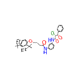 CCC(C)(C)c1ccc(OCCCC(=O)Nc2cccc(NC(=O)C(Cl)C(=O)c3ccccc3)c2)c(C(C)(C)CC)c1